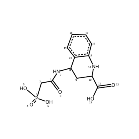 O=C(CP(=O)(O)O)NC1CC(C(=O)O)Nc2ccccc21